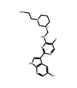 OCCN1CCC[C@@H](CNc2nc(-c3c[nH]c4ncc(Cl)cc34)ncc2F)C1